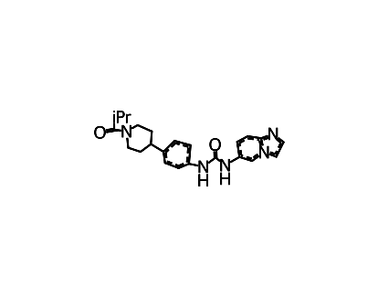 CC(C)C(=O)N1CCC(c2ccc(NC(=O)Nc3ccc4nccn4c3)cc2)CC1